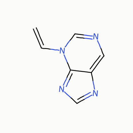 C=Cn1cncc2ncnc1-2